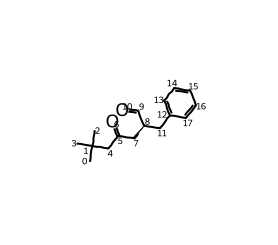 CC(C)(C)CC(=O)C[C@@H](C=O)Cc1ccccc1